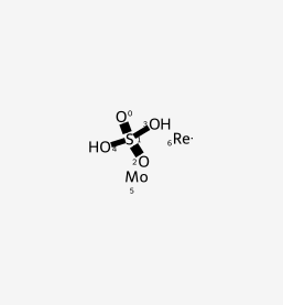 O=S(=O)(O)O.[Mo].[Re]